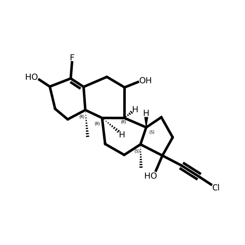 C[C@]12CCC(O)C(F)=C1CC(O)[C@@H]1[C@H]2CC[C@@]2(C)[C@H]1CCC2(O)C#CCl